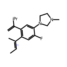 C=C(c1cc(N2CCN(C)C2)c(F)cc1/C(C)=C/C)C(C)C